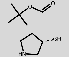 CC(C)(C)OC=O.S[C@H]1CCNC1